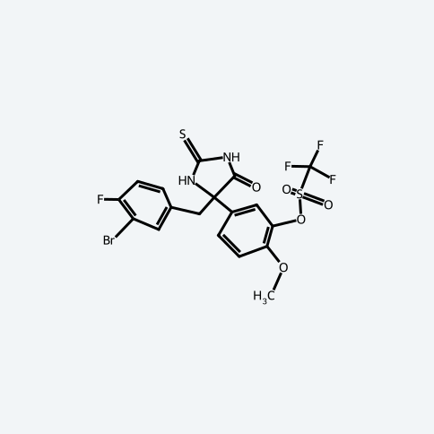 COc1ccc(C2(Cc3ccc(F)c(Br)c3)NC(=S)NC2=O)cc1OS(=O)(=O)C(F)(F)F